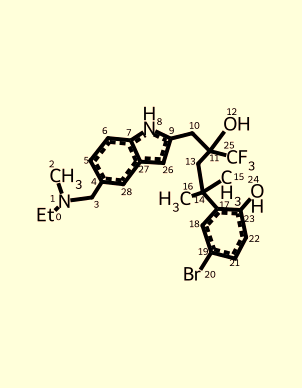 CCN(C)Cc1ccc2[nH]c(CC(O)(CC(C)(C)c3cc(Br)ccc3O)C(F)(F)F)cc2c1